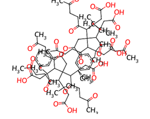 CC(=O)CCC(=O)C(C(C)(C)CC(=O)O)C(CC(OC(CC(C(C(=O)CCC(C)=O)C(C)(C)CC(=O)O)(C(C(=O)CCC(C)=O)C(C)(C)CC(=O)O)C(C(=O)CCC(C)=O)C(C)(C)CC(=O)O)c1ccccc1)c1ccccc1)(C(C(=O)CCC(C)=O)C(C)(C)CC(=O)O)C(C(=O)CCC(C)=O)C(C)(C)CC(=O)O